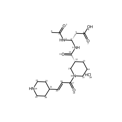 CC(=O)N[C@H](CC(=O)O)NC(=O)[C@@H]1CCCN(C(=O)/C=C/C2CCNCC2)C1.Cl